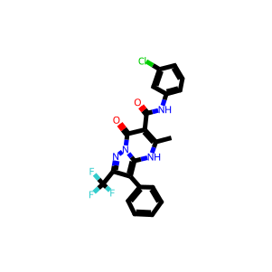 Cc1[nH]c2c(-c3ccccc3)c(C(F)(F)F)nn2c(=O)c1C(=O)Nc1cccc(Cl)c1